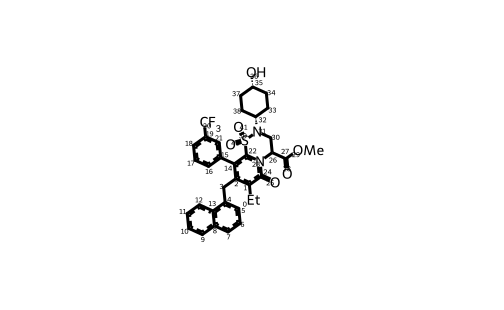 CCc1c(Cc2cccc3ccccc23)c(-c2cccc(C(F)(F)F)c2)c2n(c1=O)C(C(=O)OC)CN([C@H]1CC[C@@H](O)CC1)S2(=O)=O